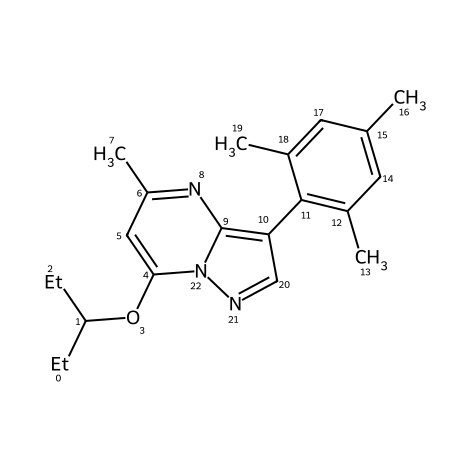 CCC(CC)Oc1cc(C)nc2c(-c3c(C)cc(C)cc3C)cnn12